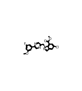 COC(=O)c1cc(Cl)cc2cnn(Cc3cnc(-c4cc(F)cc(OC)c4)cn3)c12